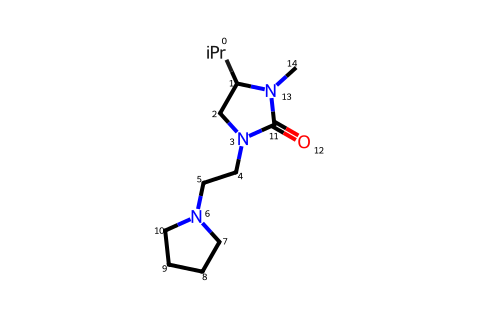 CC(C)C1CN(CCN2CCCC2)C(=O)N1C